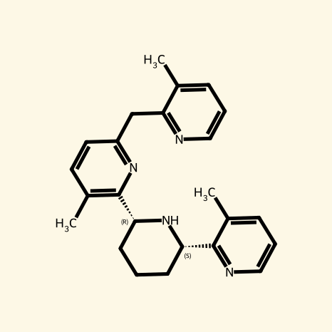 Cc1cccnc1Cc1ccc(C)c([C@H]2CCC[C@@H](c3ncccc3C)N2)n1